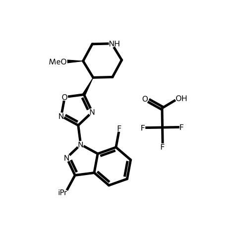 CO[C@H]1CNCC[C@H]1c1nc(-n2nc(C(C)C)c3cccc(F)c32)no1.O=C(O)C(F)(F)F